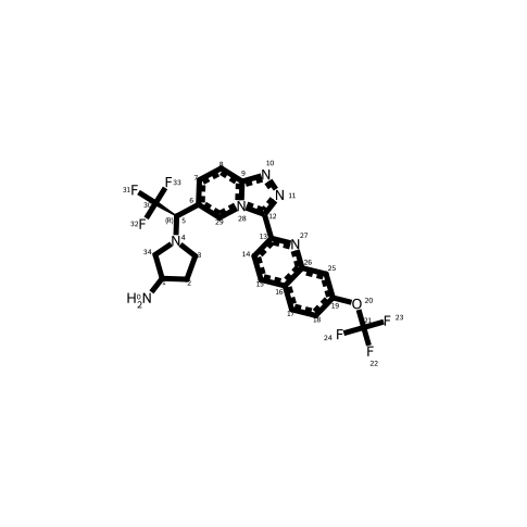 NC1CCN([C@H](c2ccc3nnc(-c4ccc5ccc(OC(F)(F)F)cc5n4)n3c2)C(F)(F)F)C1